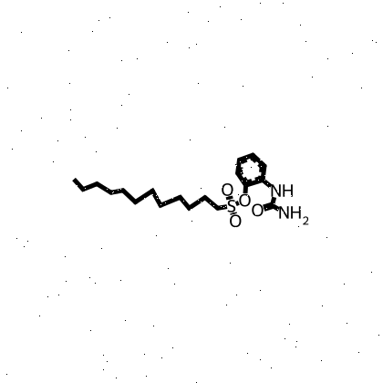 CCCCCCCCCCCCS(=O)(=O)Oc1ccccc1NC(N)=O